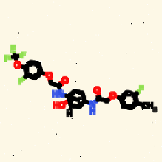 Cc1ccc(OCC(=O)NC23CCC(NC(=O)COc4ccc(OC(F)(F)F)c(F)c4)(CC2)[C@@H](O)C3)cc1F